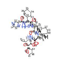 CCC[C@H](NC(=O)[C@@H]1C[C@@H]2CCCC[C@@H]2N1C(=O)[C@@H](NC(=O)[C@@H](NC(=O)c1cnccn1)C1CCCCC1)C(C)(C)C)C(=O)C(=O)[C@@H]1CCCO1